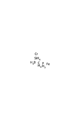 B.C.P.[Cr].[Fe].[SiH4]